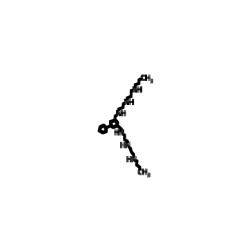 CCCCNCCCNCCCNCc1cc(CNCCCNCCCNCCCC)cc(-c2ccccc2)c1